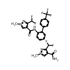 Cn1cc(C(=O)Nc2ccccc2-c2ccc(C(F)(F)F)cc2)c(C(F)F)n1.Cn1cc(C(N)=O)c(C(F)F)n1